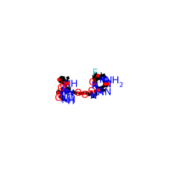 CC[C@H](NC(=O)[C@H]1C[C@@H](NCCOCCOCCC(=O)N(C)CCn2nc(C#N)c3c2CN(C)C(=O)c2ccc(F)cc2[C@H]2CCCN2c2cc-3cnc2N)CN1C(=O)[C@H](NC(=O)[C@@H](C)NC)C(C)(C)C)c1ccccc1